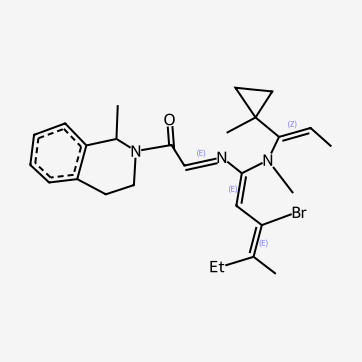 C/C=C(\N(C)C(=C\C(Br)=C(\C)CC)/N=C/C(=O)N1CCc2ccccc2C1C)C1(C)CC1